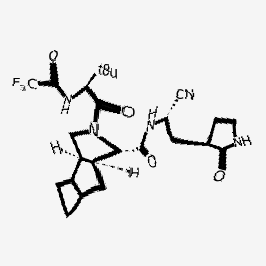 CC(C)(C)[C@H](NC(=O)C(F)(F)F)C(=O)N1C[C@@H]2C3CCC3C[C@@H]2[C@H]1C(=O)N[C@H](C#N)CC1CCNC1=O